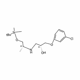 C[C@H](CO[Si](C)(C)C(C)(C)C)NC[C@@H](O)COc1cccc(Cl)c1